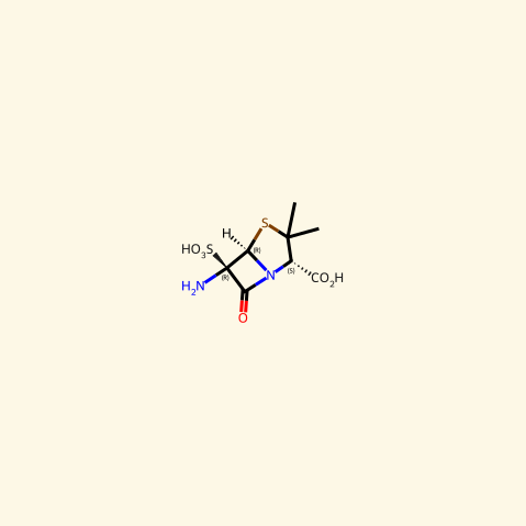 CC1(C)S[C@H]2N(C(=O)[C@@]2(N)S(=O)(=O)O)[C@H]1C(=O)O